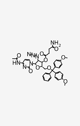 COc1ccc(C(OC[C@H]2OC(n3ccc(NC(C)=O)nc3=O)C(N=[N+]=[N-])C2OC(=O)CCC(N)=O)(c2ccccc2)c2ccc(OC)cc2)cc1